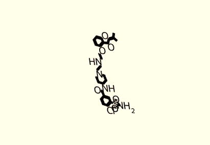 CC(C)=C1Oc2cccc(OCCNCCN3CCC(NC(=O)c4ccc(Cl)c(S(N)(=O)=O)c4)CC3)c2C1=O